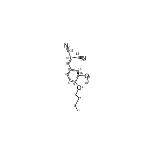 CCCCOc1ccc(C=C(C#N)C#N)cc1OC